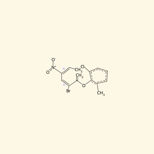 C=C(Oc1c(C)cccc1Cl)/C(Br)=C\C(=C/C)[N+](=O)[O-]